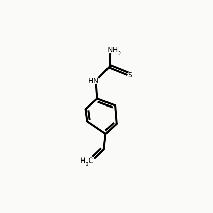 C=Cc1ccc(NC(N)=S)cc1